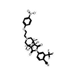 C[C@]12CN(CCOc3ccc([N+](=O)[O-])cc3)C[C@](C)(O1)[C@H]1C(=O)N(c3ccc(C#N)c(C(F)(F)F)c3)C(=O)[C@H]12